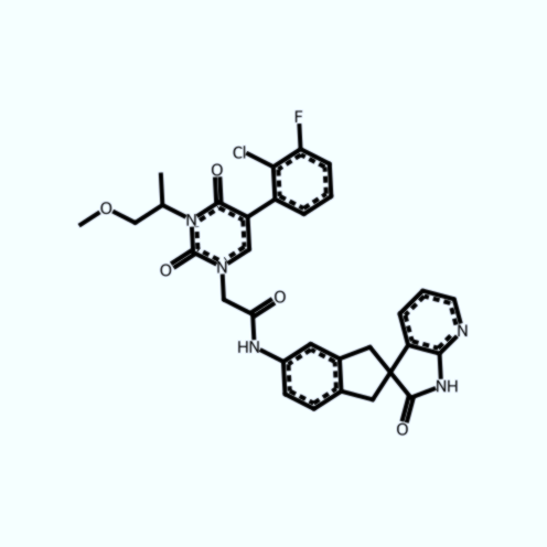 COCC(C)n1c(=O)c(-c2cccc(F)c2Cl)cn(CC(=O)Nc2ccc3c(c2)CC2(C3)C(=O)Nc3ncccc32)c1=O